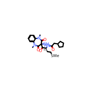 CSCC[C@H](NC(=O)CC1CCCC1)C(=O)C1(N)C(=O)N(C)c2ccccc2N(C)C1=O